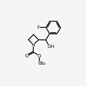 CC(C)(C)OC(=O)N1CCC1C(O)c1ccccc1F